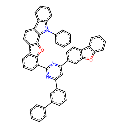 c1ccc(-c2cccc(-c3cc(-c4ccc5c(c4)oc4ccccc45)nc(-c4cccc5c4oc4c5ccc5c6ccccc6n(-c6ccccc6)c54)n3)c2)cc1